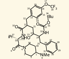 CNC1CCN(C(=O)[C@@H](NC(=O)C(Cc2ccc(OC(F)(F)F)cc2)CC(O)C(Cc2ccccc2)NC(=O)OC(C)(C)C)C(C)C)CC1